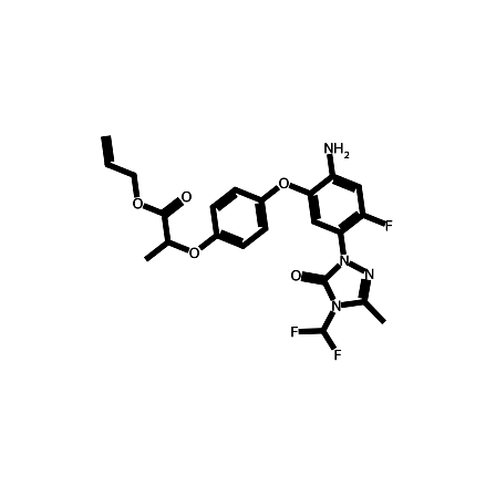 C=CCOC(=O)C(C)Oc1ccc(Oc2cc(-n3nc(C)n(C(F)F)c3=O)c(F)cc2N)cc1